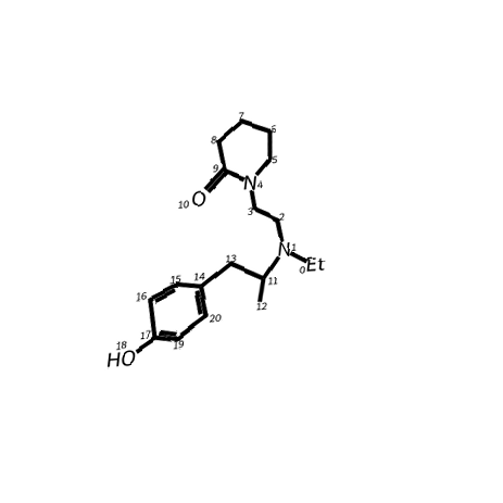 CCN(CCN1CCCCC1=O)C(C)Cc1ccc(O)cc1